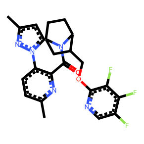 Cc1ccc(-n2ccc(C)n2)c(C(=O)N2C3CCC2C(COc2ncc(F)c(F)c2F)C3)n1